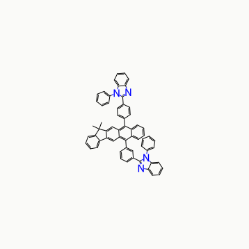 CC1(C)c2ccccc2-c2cc3c(-c4cccc(-c5nc6ccccc6n5-c5ccccc5)c4)c4ccccc4c(-c4ccc(-c5nc6ccccc6n5-c5ccccc5)cc4)c3cc21